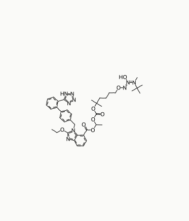 CCOc1nc2cccc(C(=O)OC(C)OC(=O)OC(C)(C)CCCCO/N=[N+](\O)N(C)C(C)(C)C)c2n1Cc1ccc(-c2ccccc2-c2nnn[nH]2)cc1